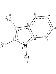 [2H]c1c([2H])n([2H])c2ccccc12